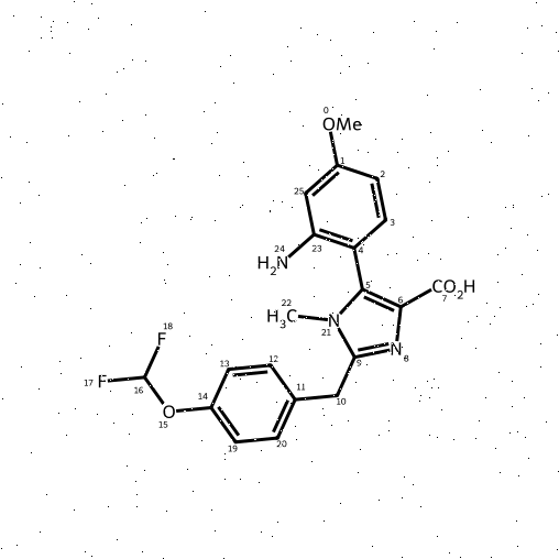 COc1ccc(-c2c(C(=O)O)nc(Cc3ccc(OC(F)F)cc3)n2C)c(N)c1